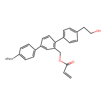 C=CC(=O)OCc1cc(-c2ccc(CCCCC)cc2)ccc1-c1ccc(CCO)cc1